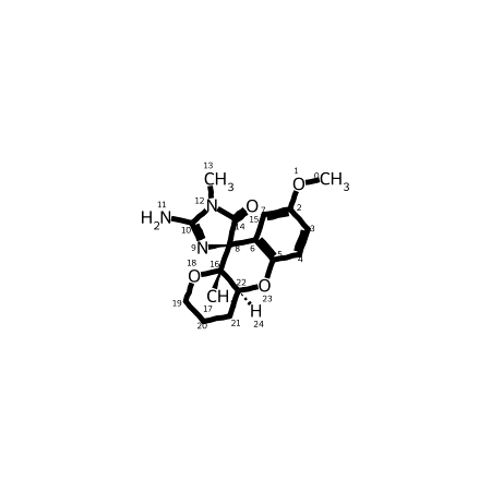 COc1ccc2c(c1)[C@]1(N=C(N)N(C)C1=O)[C@@]1(C)OCCC[C@@H]1O2